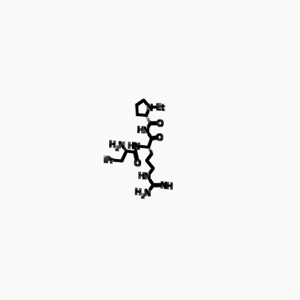 CCN1CCC[C@H]1C(=O)NC(=O)[C@H](CCCNC(=N)N)NC(=O)[C@@H](N)CC(C)C